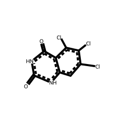 O=c1[nH]c(=O)c2c(Cl)c(Cl)c(Cl)cc2[nH]1